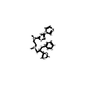 CN(CCN(C)c1nc(-n2ccnc2)ns1)CC(Cc1ccccc1)C1=COCO1